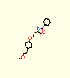 CO/C=C/c1ccc(OCCc2nc(-c3ccccc3)oc2C)cc1